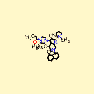 C=CC(=O)N1CCN(c2c(C#N)c([C@@H]3CCCN3C)nc3c2C(OC)CN(c2cccc4cccc(C)c24)C3)C[C@H]1C